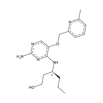 CCC[C@@H](CCO)Nc1nc(N)ncc1OCc1cccc(C)n1